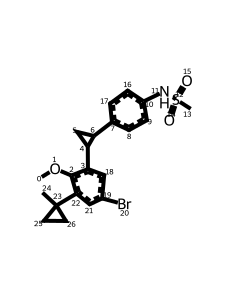 COc1c(C2CC2c2ccc(NS(C)(=O)=O)cc2)cc(Br)cc1C1(C)CC1